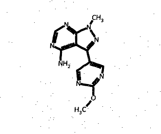 COc1ncc(-c2nn(C)c3ncnc(N)c23)cn1